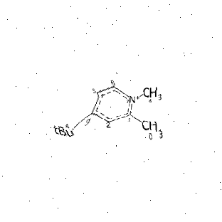 Cc1cc(C(C)(C)C)cc[n+]1C